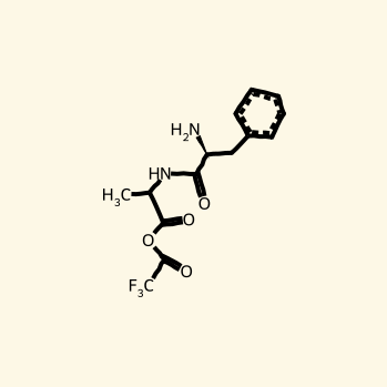 CC(NC(=O)[C@@H](N)Cc1ccccc1)C(=O)OC(=O)C(F)(F)F